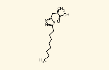 C=C(Cc1nnc(CCCCCCCC)s1)C(=O)O